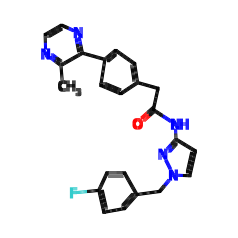 Cc1nccnc1-c1ccc(CC(=O)Nc2ccn(Cc3ccc(F)cc3)n2)cc1